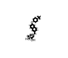 CC(C)(C)[C@H]1CC[C@H](Oc2ccc3cc(CNCC(O)P(=O)(O)O)ccc3c2)CC1